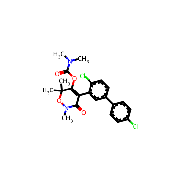 CN(C)C(=O)OC1=C(c2cc(-c3ccc(Cl)cc3)ccc2Cl)C(=O)N(C)OC1(C)C